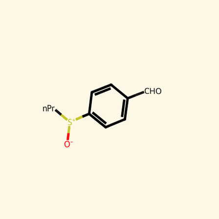 CCC[S+]([O-])c1ccc(C=O)cc1